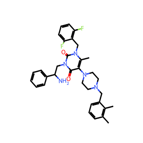 Cc1cccc(CN2CCN(c3c(C)n(Cc4c(F)cccc4F)c(=O)n(CC(N)c4ccccc4)c3=O)CC2)c1C